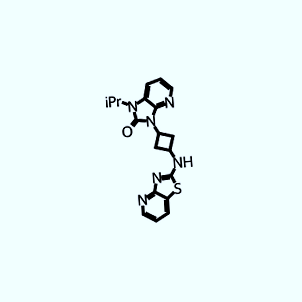 CC(C)n1c(=O)n(C2CC(Nc3nc4ncccc4s3)C2)c2ncccc21